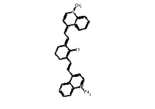 CN1C=C/C(=C/C=C2\CCCC(/C=C/c3cc[n+](C)c4ccccc34)=C2Cl)c2ccccc21